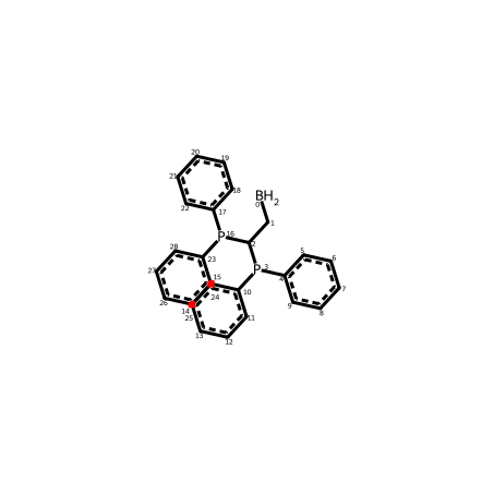 BCC(P(c1ccccc1)c1ccccc1)P(c1ccccc1)c1ccccc1